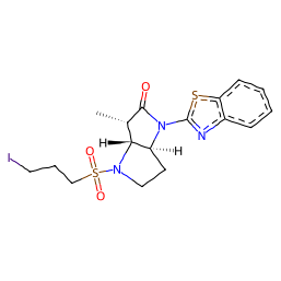 C[C@@H]1C(=O)N(c2nc3ccccc3s2)[C@H]2CCN(S(=O)(=O)CCCI)[C@H]12